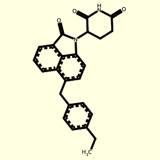 CCc1ccc(Cc2ccc3c4c(cccc24)C(=O)N3C2CCC(=O)NC2=O)cc1